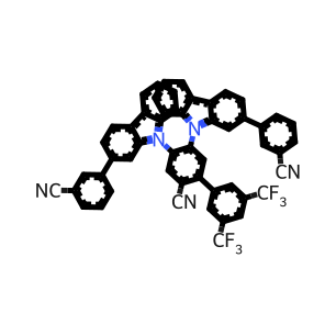 N#Cc1cccc(-c2ccc3c4ccccc4n(-c4cc(C#N)c(-c5cc(C(F)(F)F)cc(C(F)(F)F)c5)cc4-n4c5ccccc5c5ccc(-c6cccc(C#N)c6)cc54)c3c2)c1